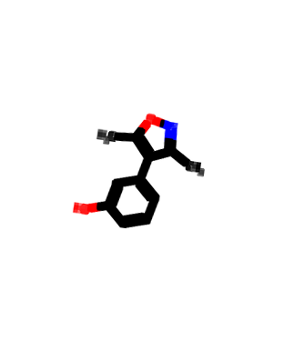 Cc1noc(C)c1-c1[c]c(O)ccc1